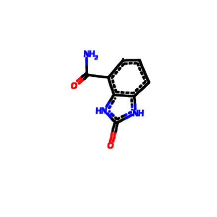 NC(=O)c1[c]ccc2[nH]c(=O)[nH]c12